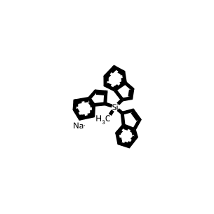 C[Si](C1C=Cc2ccccc21)(C1C=Cc2ccccc21)C1C=Cc2ccccc21.[Na]